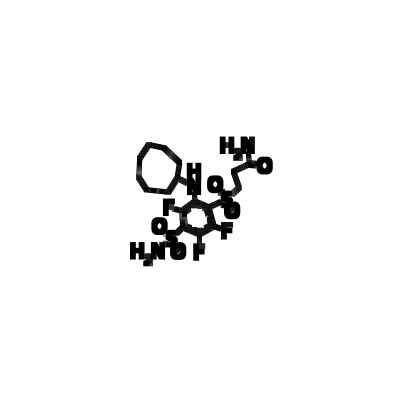 NC(=O)CCS(=O)(=O)c1c(F)c(F)c(S(N)(=O)=O)c(F)c1NC1CCCCCCC1